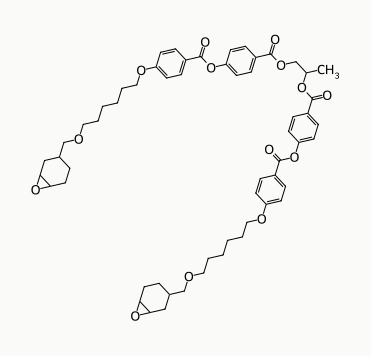 CC(COC(=O)c1ccc(OC(=O)c2ccc(OCCCCCCOCC3CCC4OC4C3)cc2)cc1)OC(=O)c1ccc(OC(=O)c2ccc(OCCCCCCOCC3CCC4OC4C3)cc2)cc1